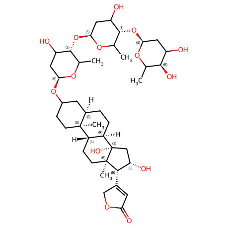 CC1O[C@@H](O[C@H]2C(O)C[C@H](O[C@H]3C(O)C[C@H](OC4CC[C@@]5(C)[C@H](CC[C@@H]6[C@@H]5CC[C@]5(C)[C@@H](C7=CC(=O)OC7)[C@@H](O)C[C@]65O)C4)OC3C)OC2C)CC(O)[C@H]1O